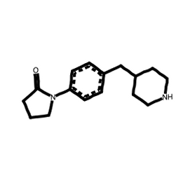 O=C1CCCN1c1ccc(CC2CCNCC2)cc1